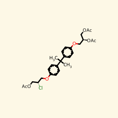 CC(=O)OC[C@@H](Cl)COc1ccc(C(C)(C)c2ccc(OC[C@@H](COC(C)=O)OC(C)=O)cc2)cc1